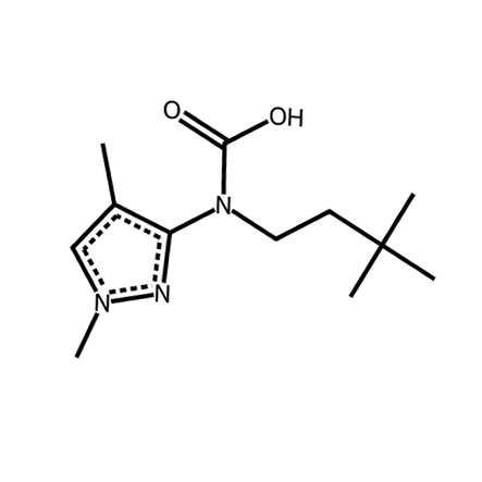 Cc1cn(C)nc1N(CCC(C)(C)C)C(=O)O